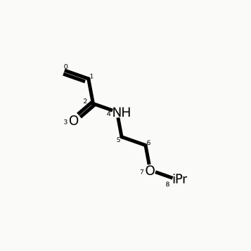 C=CC(=O)NCCOC(C)C